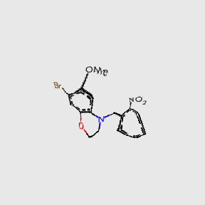 COc1cc2c(cc1Br)OCCN2Cc1ccccc1[N+](=O)[O-]